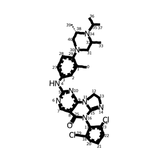 Cc1cc(Nc2ncc3c(n2)N2CCN=C2N(c2c(Cl)cccc2Cl)C3=O)ccc1N1CC(C)N(C(C)C)[C@@H](C)C1